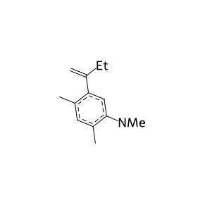 C=C(CC)c1cc(NC)c(C)cc1C